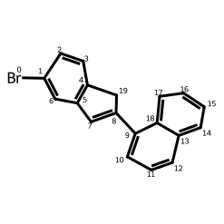 Brc1ccc2c(c1)C=C(c1cccc3ccccc13)C2